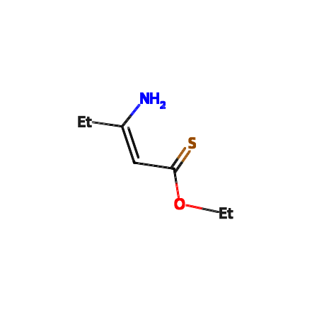 CCOC(=S)/C=C(\N)CC